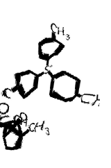 CC12CCC(C(S(=O)(=O)[O-])C1=O)C2(C)C.Cc1ccc([S+](c2ccc(C)cc2)c2ccc(C)cc2)cc1